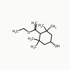 C=C(OCC)C1C(C)(C)CC(O)CC1(C)C